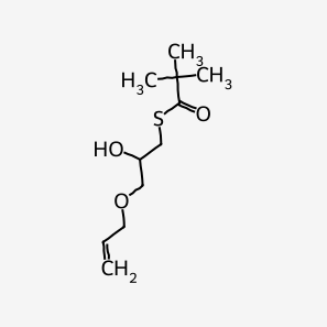 C=CCOCC(O)CSC(=O)C(C)(C)C